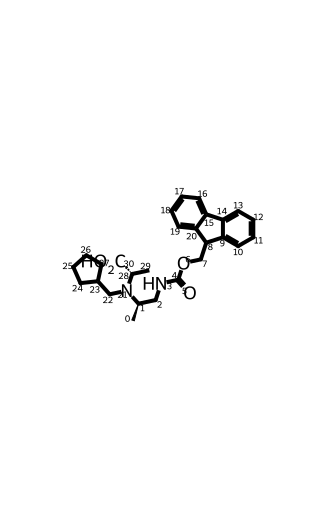 C[C@H](CNC(=O)OCC1c2ccccc2-c2ccccc21)N(CC1CCCC1)[C@@H](C)C(=O)O